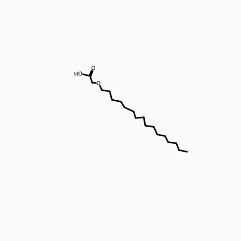 CCCCCCCCCCCCCCCCOCC(=O)O